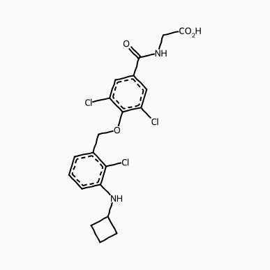 O=C(O)CNC(=O)c1cc(Cl)c(OCc2cccc(NC3CCC3)c2Cl)c(Cl)c1